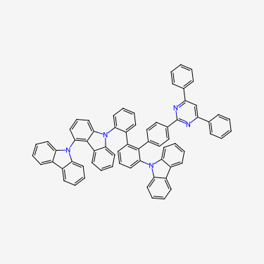 c1ccc(-c2cc(-c3ccccc3)nc(-c3ccc(-c4c(-c5ccccc5-n5c6ccccc6c6c(-n7c8ccccc8c8ccccc87)cccc65)cccc4-n4c5ccccc5c5ccccc54)cc3)n2)cc1